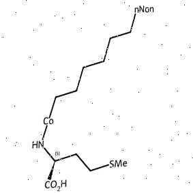 CCCCCCCCCCCCCC[CH2][Co][NH][C@@H](CCSC)C(=O)O